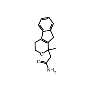 CC1(CC(N)=O)OCCC2=C1Cc1ccccc12